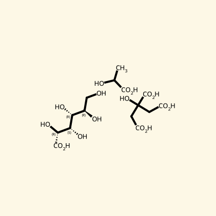 CC(O)C(=O)O.O=C(O)CC(O)(CC(=O)O)C(=O)O.O=C(O)[C@H](O)[C@@H](O)[C@H](O)[C@H](O)CO